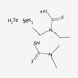 CCN(CC)C(=S)S.CN(C)C(=S)S.[SeH2].[TeH2]